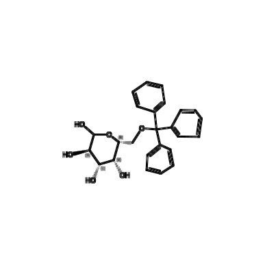 OC1O[C@H](COC(c2ccccc2)(c2ccccc2)c2ccccc2)[C@H](O)[C@H](O)[C@H]1O